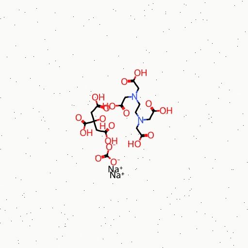 O=C(O)CC(O)(CC(=O)O)C(=O)O.O=C(O)CN(CCN(CC(=O)O)CC(=O)O)CC(=O)O.O=C([O-])[O-].[Na+].[Na+]